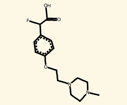 CN1CCN(CCOc2ccc(C(F)C(=O)O)cc2)CC1